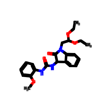 CCOC(CN1C(=O)C(NC(=O)Nc2ccccc2OC)c2ccccc21)OCC